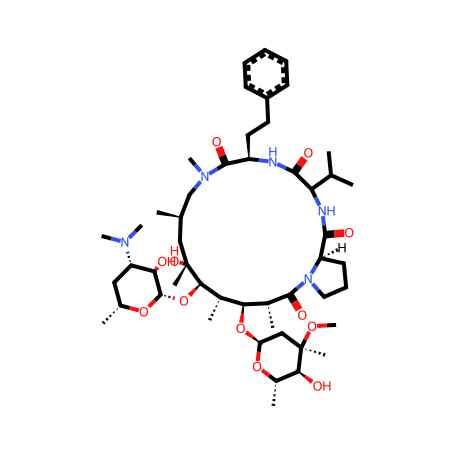 CO[C@]1(C)C[C@H](O[C@H]2[C@H](C)[C@@H](O[C@@H]3O[C@H](C)C[C@H](N(C)C)[C@H]3O)[C@](C)(O)C[C@@H](C)CN(C)C(=O)[C@@H](CCc3ccccc3)NC(=O)C(C(C)C)NC(=O)[C@H]3CCCN3C(=O)[C@@H]2C)O[C@@H](C)[C@@H]1O